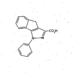 O=C(O)c1nn(-c2ccccc2)c2c1Cc1ccccc1-2